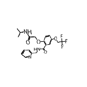 CC(C)NC(=O)COc1ccc(OCC(F)(F)F)cc1C(=O)NCc1ccccn1